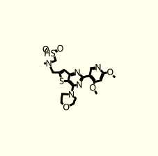 COc1cc(OC)c(-c2nc(N3CCOCC3)c3sc(CN(C)C[SH](=O)=O)cc3n2)cn1